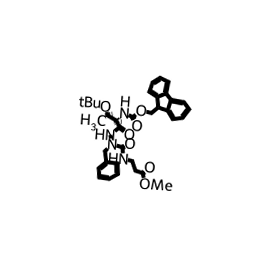 COC(=O)CCNC(=O)N(Cc1ccccc1)NC(=O)[C@@H](NC(=O)OCC1c2ccccc2-c2ccccc21)[C@@H](C)OC(C)(C)C